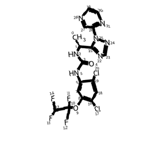 C[C@H](NC(=O)Nc1cc(OC(F)(F)C(F)F)c(Cl)cc1Cl)c1ncnn1-c1cnccn1